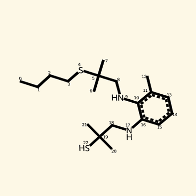 CCCCSC(C)(C)CNc1c(C)cccc1NCC(C)(C)S